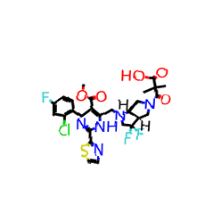 COC(=O)C1=C(CN2CC(F)(F)[C@@H]3CN(C(=O)C(C)(C)C(=O)O)C[C@@H]32)NC(c2nccs2)=NC1c1ccc(F)cc1Cl